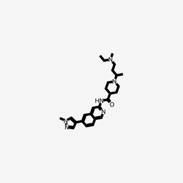 CCN(C)CCC(C)N1CCC(C(=O)Nc2cc3cc(-c4cnn(C)c4)ccc3cn2)CC1